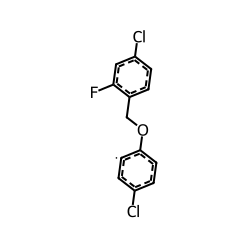 Fc1cc(Cl)ccc1COc1[c]cc(Cl)cc1